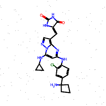 NC1(c2ccc(Nc3cc(NC4CC4)n4ncc(/C=C5\NC(=O)NC5=O)c4n3)c(Cl)c2)CCC1